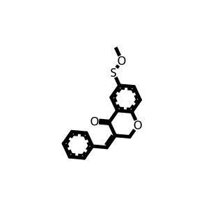 COSc1ccc2c(c1)C(=O)C(=Cc1ccccc1)CO2